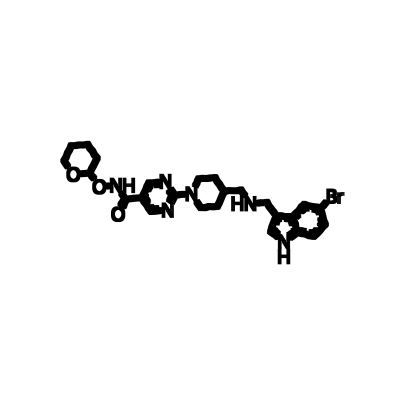 O=C(NOC1CCCCO1)c1cnc(N2CCC(CNCc3c[nH]c4ccc(Br)cc34)CC2)nc1